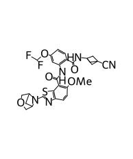 COc1ccc2nc(N3C4COCC3C4)sc2c1C(=O)Nc1cc(OC(F)F)ccc1C(=O)NC12CC(C#N)(C1)C2